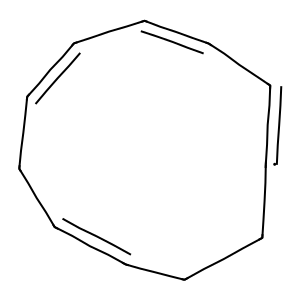 [C]1=CC=CC=CCC=CCC1